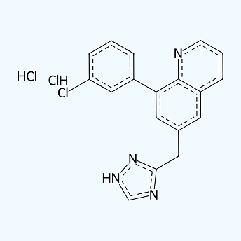 Cl.Cl.Clc1cccc(-c2cc(Cc3nc[nH]n3)cc3cccnc23)c1